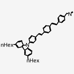 C=NCc1ccc(/C=C/c2ccc(/C=C/c3ccc(-n4c5ccc(CCCCCC)cc5c5cc(CCCCCC)ccc54)cc3)cc2)cc1